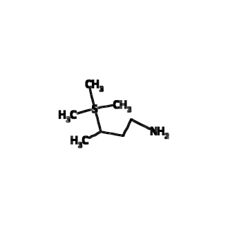 CC(CCN)S(C)(C)C